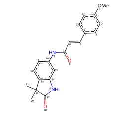 COc1ccc(C=CC(=O)Nc2ccc3c(c2)NC(=O)C3(C)C)cc1